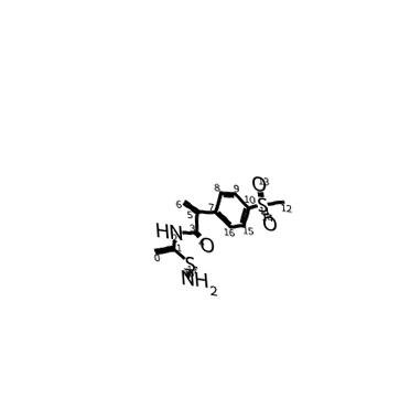 C=C(NC(=O)C(=C)c1ccc(S(C)(=O)=O)cc1)SN